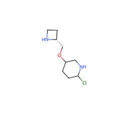 ClC1CCC(OC[C@H]2CCN2)CN1